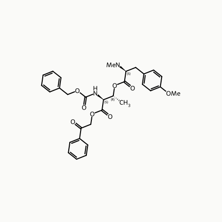 CN[C@@H](Cc1ccc(OC)cc1)C(=O)O[C@H](C)[C@H](NC(=O)OCc1ccccc1)C(=O)OCC(=O)c1ccccc1